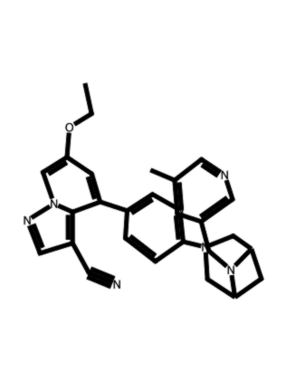 CCOc1cc(-c2ccc(N3CC4CC(C3)N4Cc3cncc(C)c3)nc2)c2c(C#N)cnn2c1